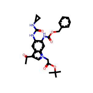 CC(=O)c1cn(CC(=O)OC(C)(C)C)c2cc(NC(=O)OCc3ccccc3)c(NC(=O)NC3CC3)cc12